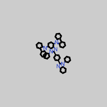 c1ccc(-n2c(-c3ccc(-c4nc5c(-n6c7ccccc7c7ccccc76)ccc(-n6c7ccccc7c7ccccc76)c5n4-c4ccccc4)cc3)nc3ccccc32)cc1